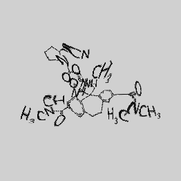 C[C@@H](CC1(c2noc(=O)[nH]2)c2ccc(C(=O)N(C)C)cc2CCc2cc(C(=O)N(C)C)ccc21)NCC(=O)N1CCC[C@H]1C#N